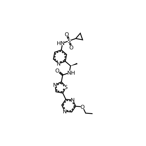 CCOc1cncc(-c2cnc(C(=O)N[C@H](C)c3cc(NS(=O)(=O)C4CC4)ccn3)s2)n1